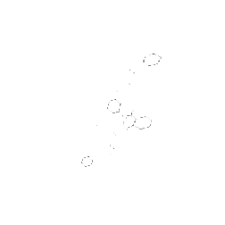 CC(C)Oc1ccc(C(=O)CN2CCN(Cc3ccccc3)CC2)cc1-n1c(CN2CCN(C(=O)COc3ccc(Cl)cc3)CC2)nc2ccccc2c1=O